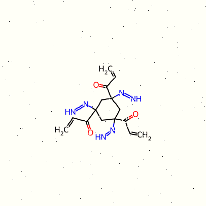 C=CC(=O)C1(N=N)CC(N=N)(C(=O)C=C)CC(N=N)(C(=O)C=C)C1